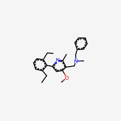 CCc1cccc(CC)c1-c1cc(OC)c(CN(C)Cc2ccccc2)c(C)n1